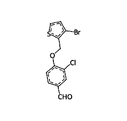 O=Cc1ccc(OCc2sccc2Br)c(Cl)c1